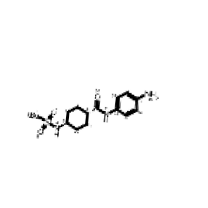 CC(C)(C)S(=O)(=O)N[C@H]1CC[C@H](C(=O)Nc2ccc(N)cc2)CC1